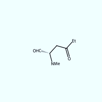 CCC(=O)C[C@@H](C=O)NC